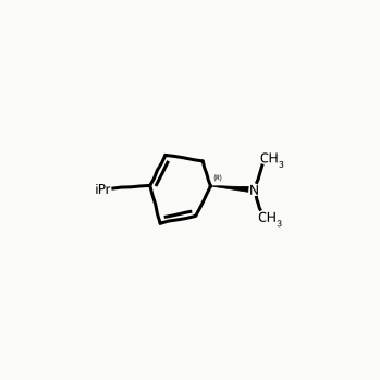 CC(C)C1=CC[C@@H](N(C)C)C=C1